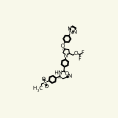 CCS(=O)(=O)c1ccc([C@H](CC#N)NC(=O)c2ccc(N3C[C@@H](Oc4ccc(-n5nccn5)cc4)CC3COC(F)F)cc2)cc1